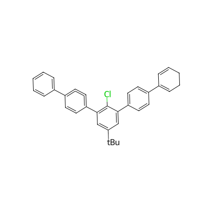 CC(C)(C)c1cc(C2=C=C=C(c3ccccc3)C=C2)c(Cl)c(-c2ccc(C3=CCCC=C3)cc2)c1